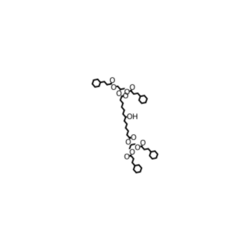 O=C(CCC1CCCCC1)OCC(COC(=O)CCC1CCCCC1)OC(=O)CCCCCC(O)CCCCCC(=O)OC(COC(=O)CCC1CCCCC1)COC(=O)CCC1CCCCC1